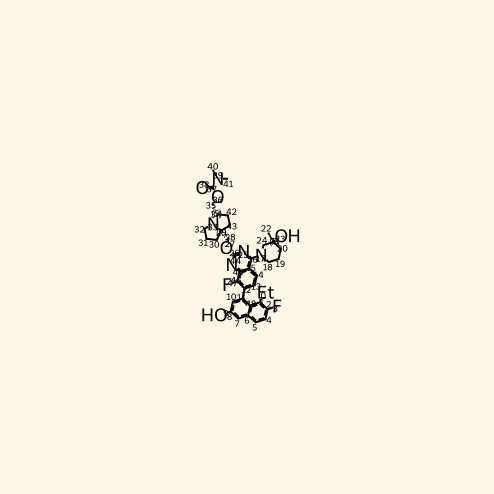 CCc1c(F)ccc2cc(O)cc(-c3ccc4c(N5CCC[C@@](C)(O)C5)nc(OC[C@]56CCCN5[C@H](COC(=O)N(C)C)CC6)nc4c3F)c12